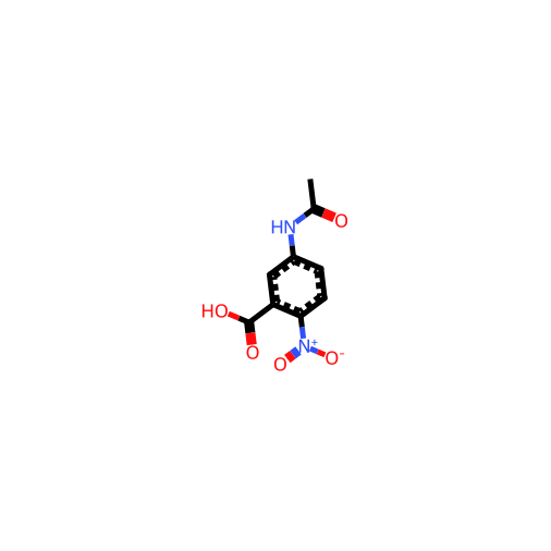 CC(=O)Nc1ccc([N+](=O)[O-])c(C(=O)O)c1